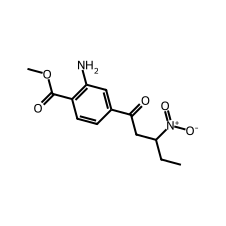 CCC(CC(=O)c1ccc(C(=O)OC)c(N)c1)[N+](=O)[O-]